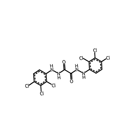 O=C(NNc1ccc(Cl)c(Cl)c1Cl)C(=O)NNc1ccc(Cl)c(Cl)c1Cl